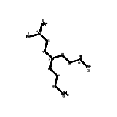 CCCN(CC)CCN(CCCN)CCNCC